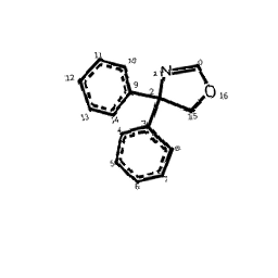 C1=NC(c2ccccc2)(c2ccccc2)CO1